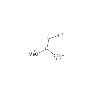 COC(CI)C(=O)O